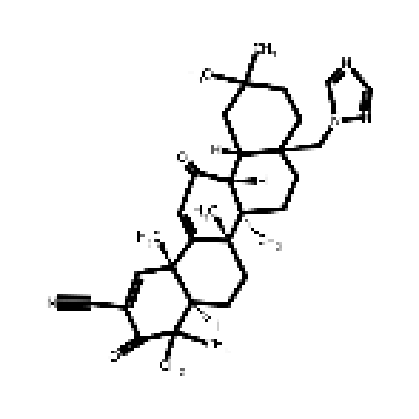 CC1(C)CC[C@]2(Cn3cncn3)CC[C@]3(C)[C@H](C(=O)C=C4[C@@]5(C)C=C(C#N)C(=O)C(C)(C)[C@@H]5CC[C@]43C)[C@@H]2C1